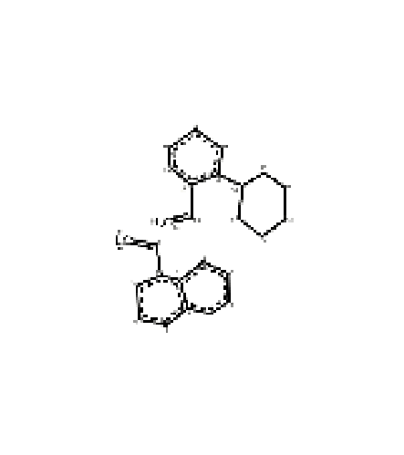 C=Cc1cccc2ccccc12.C=Cc1ccccc1C1CCCCC1